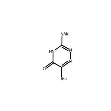 CNc1nnc(C(C)(C)C)c(=O)[nH]1